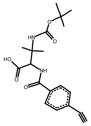 C#Cc1ccc(C(=O)NC(C(=O)O)C(C)(C)NC(=O)OC(C)(C)C)cc1